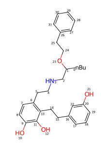 CCCCC(CNCCc1ccc(O)c(O)c1CCc1cccc(O)c1)OCCc1ccccc1